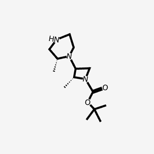 C[C@@H]1C(N2CCNC[C@H]2C)CN1C(=O)OC(C)(C)C